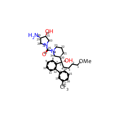 COCCCC[C@@](O)(c1ccccc1-c1cccc(C(F)(F)F)c1)[C@@H]1CCCN(C(=O)N2C[C@@H](N)[C@@H](O)C2)C1